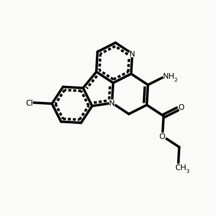 CCOC(=O)C1=C(N)c2nccc3c4cc(Cl)ccc4n(c23)C1